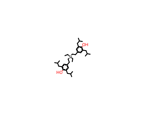 CC[Si](CC)(CCc1cc(CC(C)C)c(O)c(CC(C)C)c1)CCc1cc(CC(C)C)c(O)c(CC(C)C)c1